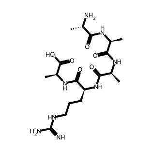 C[C@H](N)C(=O)N[C@@H](C)C(=O)N[C@@H](C)C(=O)N[C@@H](CCCNC(=N)N)C(=O)N[C@@H](C)C(=O)O